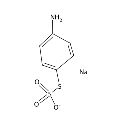 Nc1ccc(SS(=O)(=O)[O-])cc1.[Na+]